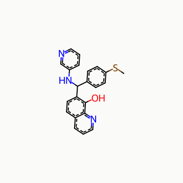 CSc1ccc(C(Nc2cccnc2)c2ccc3cccnc3c2O)cc1